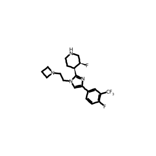 Fc1ccc(-c2cn(CCN3CCC3)c([C@H]3CCNC[C@H]3F)n2)cc1C(F)(F)F